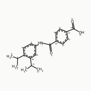 CC(C)c1ccc(NC(=O)c2ccc(C(=O)O)cc2)cc1C(C)C